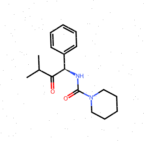 CC(C)C(=O)[C@H](NC(=O)N1CCCCC1)c1ccccc1